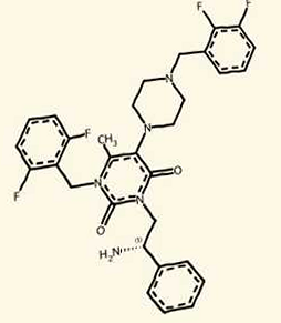 Cc1c(N2CCN(Cc3cccc(F)c3F)CC2)c(=O)n(C[C@@H](N)c2ccccc2)c(=O)n1Cc1c(F)cccc1F